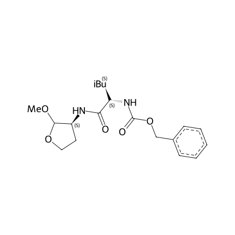 CC[C@H](C)[C@H](NC(=O)OCc1ccccc1)C(=O)N[C@H]1CCOC1OC